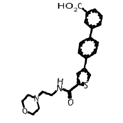 O=C(O)c1cccc(-c2ccc(-c3csc(C(=O)NCCN4CCOCC4)c3)cc2)c1